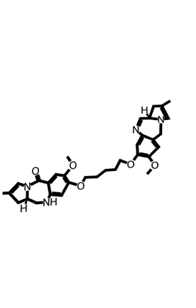 COc1cc2c(cc1OCCCCCOc1cc3c(cc1OC)C(=O)N1C=C(C)C[C@H]1CN3)N=C[C@@H]1CC(C)=CN1C2